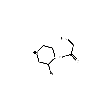 CCC(=O)O.CCC1CNCCO1